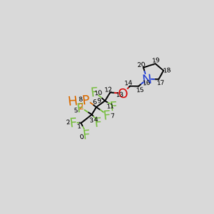 FC(F)C(F)(F)C(F)(P)C(F)(F)COCCN1CCCC1